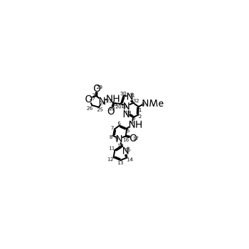 CNc1cc(Nc2cccn(-c3ccccn3)c2=O)nn2c(C(=O)NN3CCOC3=O)cnc12